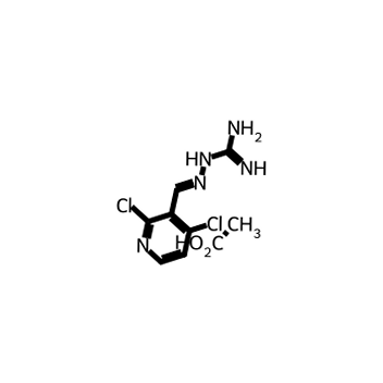 CC(=O)O.N=C(N)N/N=C/c1c(Cl)ccnc1Cl